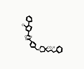 O=C(O)C1(CCCc2ccccc2)CCN(Cc2ccc(-c3noc(-c4ccc(-c5ccccc5)c(Cl)c4)n3)cc2)CC1